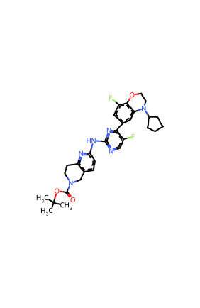 CC(C)(C)OC(=O)N1CCc2nc(Nc3ncc(F)c(-c4cc(F)c5c(c4)N(C4CCCC4)CCO5)n3)ccc2C1